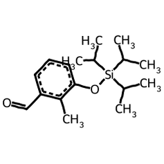 Cc1c(C=O)cccc1O[Si](C(C)C)(C(C)C)C(C)C